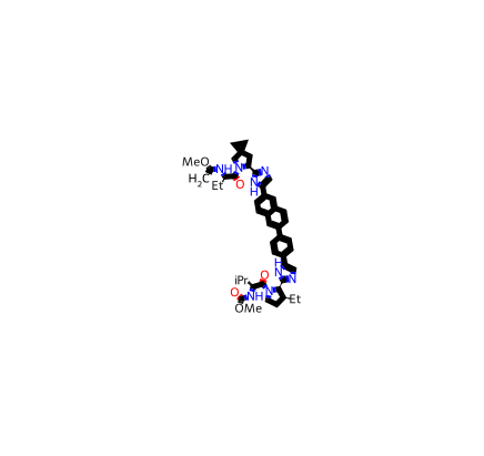 C=C(N[C@@H](CC)C(=O)N1CC2(CC2)C[C@H]1c1ncc(-c2ccc3cc(-c4ccc(-c5cnc([C@@H]6[C@H](CC)CCN6C(=O)[C@@H](NC(=O)OC)C(C)C)[nH]5)cc4)ccc3c2)[nH]1)OC